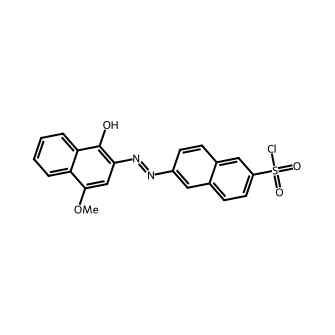 COc1cc(N=Nc2ccc3cc(S(=O)(=O)Cl)ccc3c2)c(O)c2ccccc12